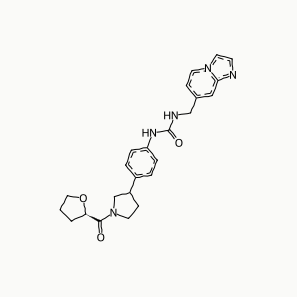 O=C(NCc1ccn2ccnc2c1)Nc1ccc(C2CCN(C(=O)[C@H]3CCCO3)C2)cc1